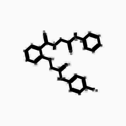 O=C(CNC(=O)c1ccccc1OCC(=O)Nc1ccc(F)cc1)Nc1ccccc1